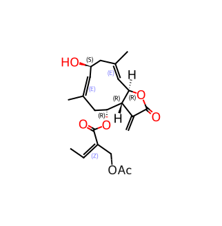 C=C1C(=O)O[C@@H]2/C=C(\C)C[C@H](O)/C=C(\C)C[C@@H](OC(=O)/C(=C\C)COC(C)=O)[C@@H]12